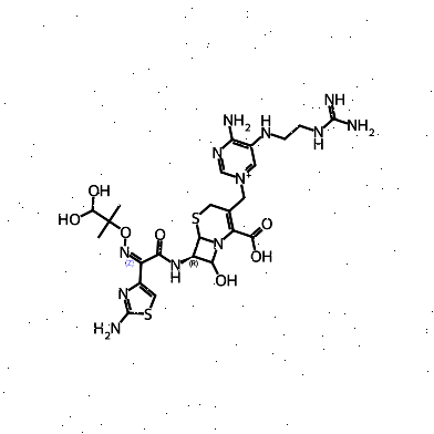 CC(C)(O/N=C(\C(=O)N[C@@H]1C(O)N2C(C(=O)O)=C(C[n+]3cnc(N)c(NCCNC(=N)N)c3)CSC12)c1csc(N)n1)C(O)O